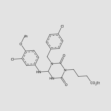 CCOC(=O)CCCN1C(=O)NC(Nc2ccc(OC(C)C)c(Cl)c2)N(Cc2ccc(Cl)cc2)C1=O